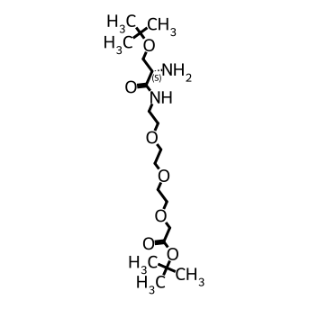 CC(C)(C)OC[C@H](N)C(=O)NCCOCCOCCOCC(=O)OC(C)(C)C